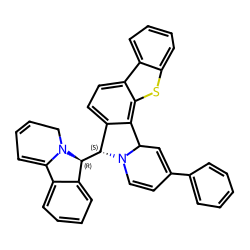 C1=CCN2C(=C1)c1ccccc1[C@@H]2[C@@H]1c2ccc3c(sc4ccccc43)c2C2C=C(c3ccccc3)C=CN21